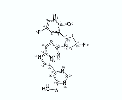 O=c1[nH]cc(F)cc1[C@H]1C[C@H](F)CN1c1ccc2ncc(-c3cc(CO)ncn3)n2n1